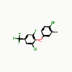 [CH2]c1cc(Oc2c(F)cc(C(F)(F)F)cc2Cl)ccc1Br